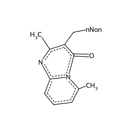 CCCCCCCCCCc1c(C)nc2cccc(C)n2c1=O